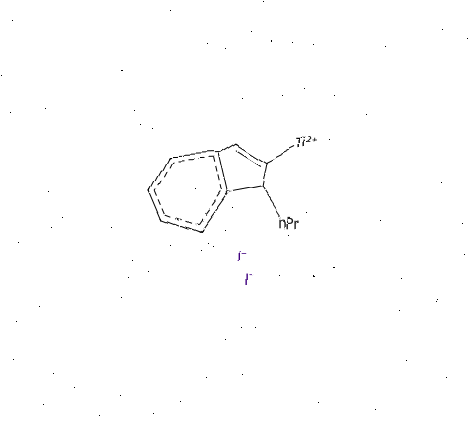 CCCC1[C]([Ti+2])=Cc2ccccc21.[I-].[I-]